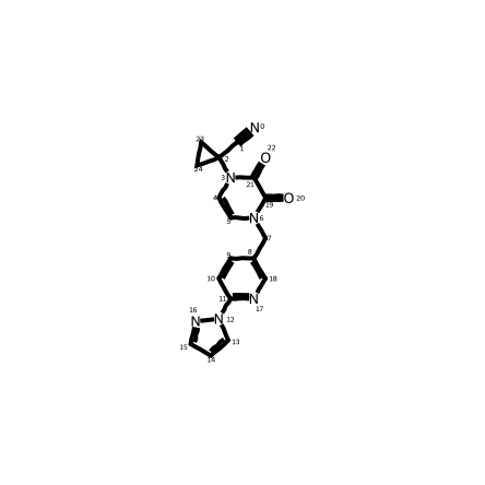 N#CC1(n2ccn(Cc3ccc(-n4cccn4)nc3)c(=O)c2=O)CC1